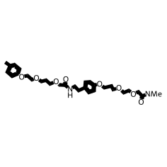 CNC(=O)COCCOCCCOc1ccc(CCNC(=O)COCCCOCCOc2ccc(C)cc2)cc1